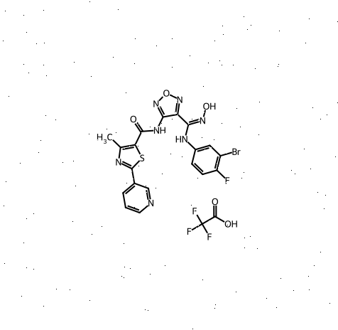 Cc1nc(-c2cccnc2)sc1C(=O)Nc1nonc1/C(=N\O)Nc1ccc(F)c(Br)c1.O=C(O)C(F)(F)F